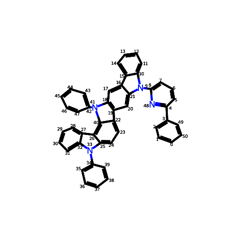 c1ccc(-c2cccc(-n3c4ccccc4c4cc5c(cc43)c3ccc4c(c6ccccc6n4-c4ccccc4)c3n5-c3ccccc3)n2)cc1